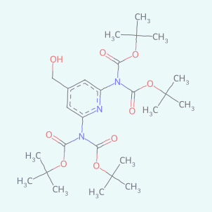 CC(C)(C)OC(=O)N(C(=O)OC(C)(C)C)c1cc(CO)cc(N(C(=O)OC(C)(C)C)C(=O)OC(C)(C)C)n1